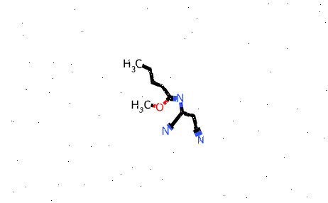 CCCC/C(=N/C(C#N)CC#N)OC